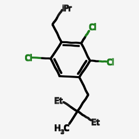 CCC(C)(CC)Cc1cc(Cl)c(CC(C)C)c(Cl)c1Cl